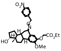 CCOC(=O)COc1cc2c(cc1OC)[C@H]1CC[C@]3(C)[C@H](O)CC[C@H]3[C@@H]1CC2=NOCc1ccc([N+](=O)[O-])cc1